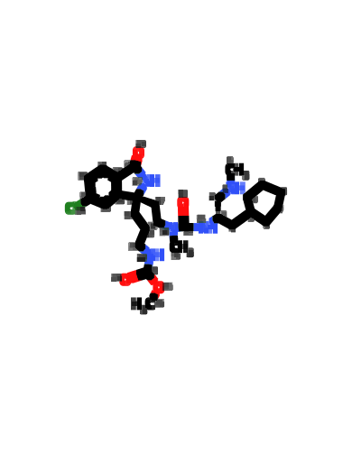 CNC[C@H](CC1CCCCC1)NC(=O)N(C)CC[C@]1(CCCNC(=O)OC)NC(=O)c2ccc(Cl)cc21